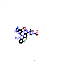 C=CC(=O)N1CCN(c2nc(=O)n(-c3c(C)nc4c(ncn4C)c3C(C)C)c3nc(-c4c(N)cccc4F)c(F)cc23)[C@@H](C)C1